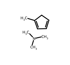 CC1=CC=CC1.CN(C)C